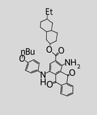 CCCCOc1ccc(Nc2cc(C(=O)OC3CCC4CC(CC)CCC4C3)c(N)c3c2C(=O)c2ccccc2C3=O)cc1